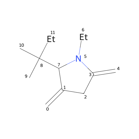 C=C1CC(=C)N(CC)C1C(C)(C)CC